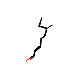 CC[C@@H](C)CC/C=C/[C]=O